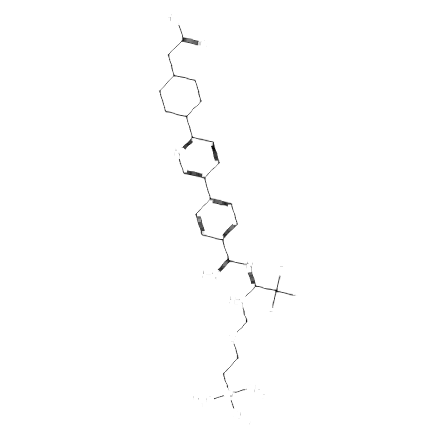 C[Si](C)(C)CCOCN/C(=N\C(=N)c1ccc(-c2ccc(C3CCC(CC(=O)O)CC3)nc2)cc1)C(F)(F)F